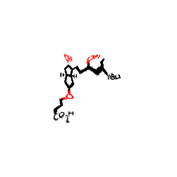 CCCCC(C)CC(O)C=C[C@H]1[C@@H]2CC(OCCCC(=O)O)C[C@H]2C[C@@H]1O